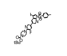 Cc1ccc(S(=O)(=O)n2cc(I)c3cc(-c4cnc(N5CCN(C(=O)OC(C)(C)C)CC5)c(F)c4)cnc32)cc1